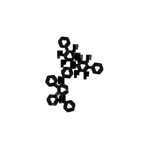 Fc1c(F)c(-c2ccccc2)c(F)c(F)c1B(c1ccc(-n2c3ccccc3c3c4c5ccccc5n(-c5ccccc5)c4ccc32)cc1)c1c(F)c(F)c(-c2ccccc2)c(F)c1F